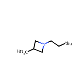 CC(C)(C)CCN1CC(C(=O)O)C1